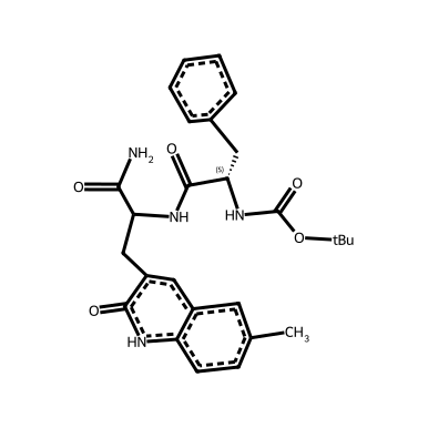 Cc1ccc2[nH]c(=O)c(CC(NC(=O)[C@H](Cc3ccccc3)NC(=O)OC(C)(C)C)C(N)=O)cc2c1